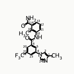 Cc1cn(-c2cc(C(=O)Nc3cccc(C(N)=O)c3C)cc(C(F)(F)F)c2)cn1